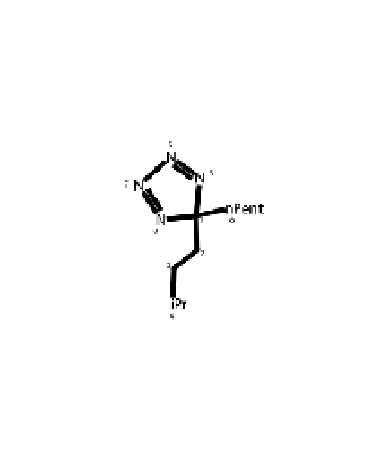 CCCCCC1(CCC(C)C)N=NN=N1